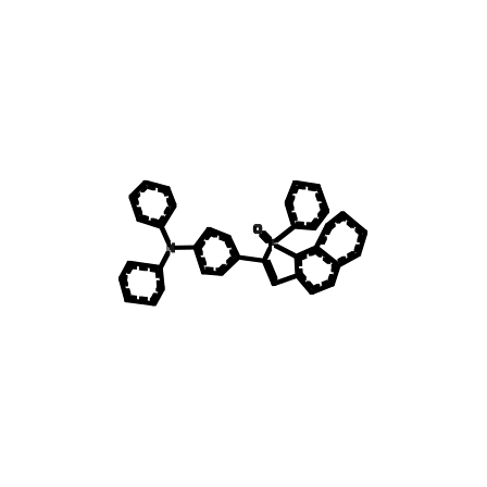 O=P1(c2ccccc2)C(c2ccc(N(c3ccccc3)c3ccccc3)cc2)=Cc2ccc3ccccc3c21